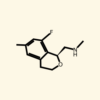 CNC[C@H]1OCCc2cc(C)cc(F)c21